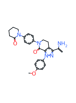 C=C(N)c1nn(-c2ccc(OC)cc2)c2c1CCN(c1ccc(N3CCCCC3=O)cc1)C2=O